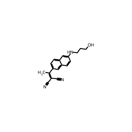 CC(=C(C#N)C#N)c1ccc2cc(NCCCO)ccc2c1